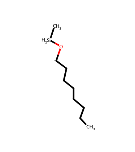 CCCCCCC[CH]O[SiH2]C